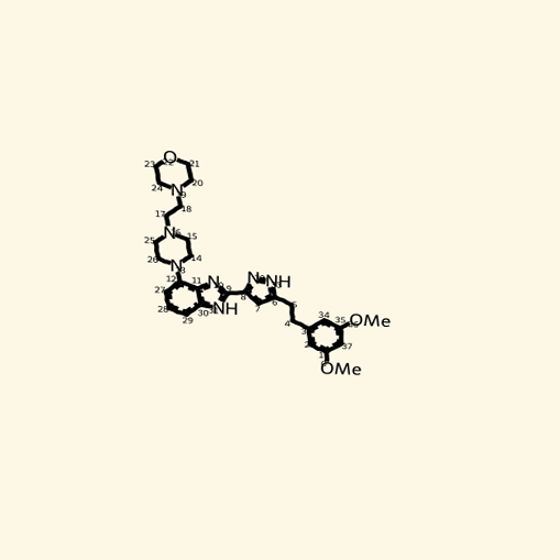 COc1cc(CCc2cc(-c3nc4c(N5CCN(CCN6CCOCC6)CC5)cccc4[nH]3)n[nH]2)cc(OC)c1